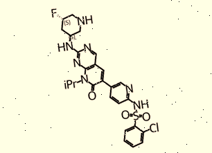 CC(C)n1c(=O)c(-c2ccc(NS(=O)(=O)c3ccccc3Cl)nc2)cc2cnc(N[C@@H]3CNC[C@@H](F)C3)nc21